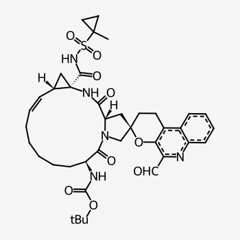 CC(C)(C)OC(=O)N[C@H]1CCCCC/C=C\[C@@H]2C[C@@]2(C(=O)NS(=O)(=O)C2(C)CC2)NC(=O)[C@@H]2C[C@]3(CCc4c(c(C=O)nc5ccccc45)O3)CN2C1=O